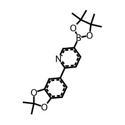 CC1(C)Oc2ccc(-c3ccc(B4OC(C)(C)C(C)(C)O4)cn3)cc2O1